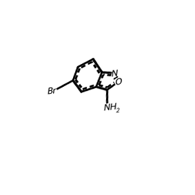 Nc1onc2ccc(Br)cc12